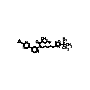 C=C(CCF)C(=O)N(CCCCCc1noc(C(C)(C)C)n1)c1cc(-c2cnc(C3CC3)nc2)ccn1